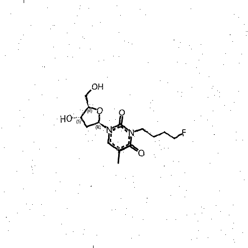 Cc1cn([C@H]2C[C@H](O)[C@@H](CO)O2)c(=O)n(CCCCF)c1=O